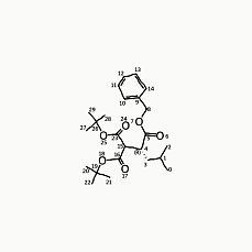 CC(C)C[C@@H](C(=O)OCc1ccccc1)C(C(=O)OC(C)(C)C)C(=O)OC(C)(C)C